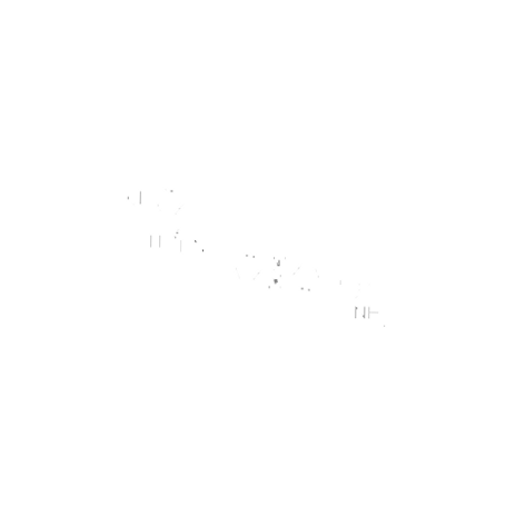 NC(=O)COc1ccc(S(=O)(=O)c2ccc(CCNC[C@H](O)c3cccc(Cl)c3)cc2)cc1